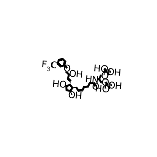 O=C(CCC/C=C\C[C@@H]1[C@@H](/C=C/[C@@H](O)COc2cccc(C(F)(F)F)c2)[C@H](O)C[C@@H]1O)NC(CON(O)O)CON(O)O